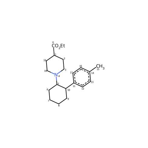 CCOC(=O)C1CCN(C2CCCCC2c2ccc(C)cc2)CC1